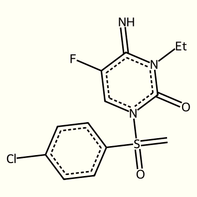 C=S(=O)(c1ccc(Cl)cc1)n1cc(F)c(=N)n(CC)c1=O